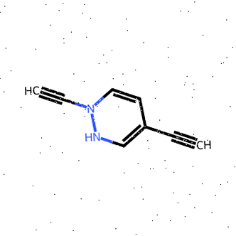 C#CC1=CNN(C#C)C=C1